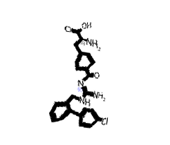 N/C(=N\C(=O)c1ccc(C[C@H](N)C(=O)O)cc1)NCc1ccccc1-c1ccc(Cl)cc1